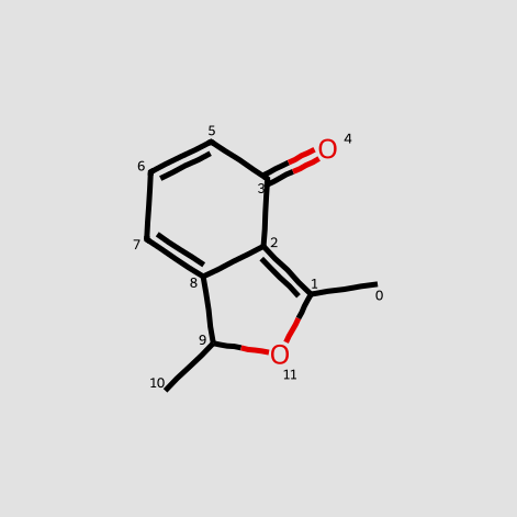 CC1=C2C(=O)C=CC=C2C(C)O1